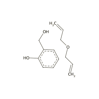 C=CCOCC=C.OCc1ccccc1O